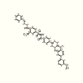 CCOc1cccc(-c2ccc(C(C)N3CCN(c4ccc(C(=O)NS(=O)(=O)c5ccc(NCCSc6ccccc6)c([N+](=O)[O-])c5)cc4)CC3)c(F)c2)c1